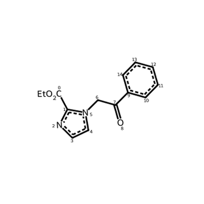 CCOC(=O)c1nccn1CC(=O)c1ccccc1